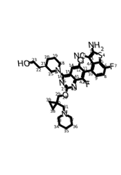 N#Cc1c(N)sc2c(F)ccc(-c3c(Cl)cc4c(N5CCC[C@H](CCO)C5)nc(OCC5(CN6CCCCC6)CC5)nc4c3F)c12